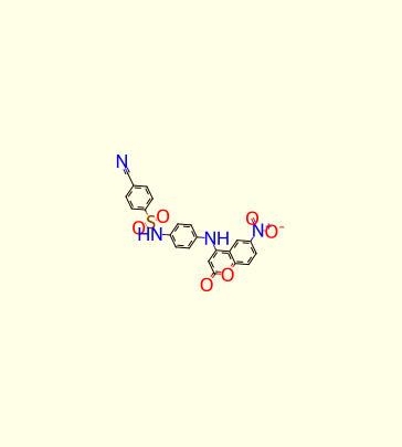 N#Cc1ccc(S(=O)(=O)Nc2ccc(Nc3cc(=O)oc4ccc([N+](=O)[O-])cc34)cc2)cc1